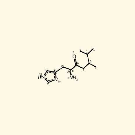 CC(C)C(C)CC(=O)[C@@H](N)Cc1c[nH]cn1